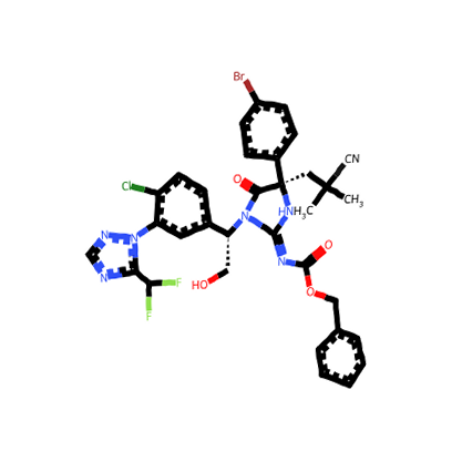 CC(C)(C#N)C[C@]1(c2ccc(Br)cc2)NC(=NC(=O)OCc2ccccc2)N([C@H](CO)c2ccc(Cl)c(-n3ncnc3C(F)F)c2)C1=O